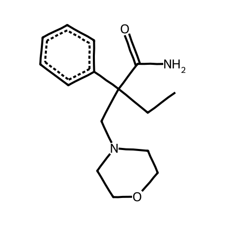 CCC(CN1CCOCC1)(C(N)=O)c1ccccc1